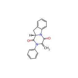 C=C1C(=O)N2c3ccccc3C[C@H]2C(=O)N1c1ccccc1